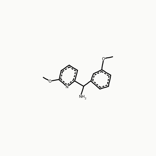 COc1cccc(C(N)c2cccc(OC)n2)c1